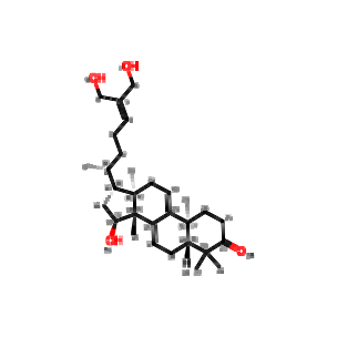 C[C@H](CCC=C(CO)CO)[C@H]1C[C@H](O)[C@@]2(C)C3=CC[C@H]4C(C)(C)C(=O)CC[C@]4(C)C3=CC[C@]12C